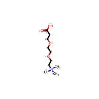 C[N+](C)(C)CCOCCOCCC(=O)O